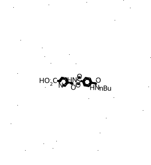 CCCCNC(=O)c1ccc(S(=O)(=O)NC(=O)c2ccc(C(=O)O)nc2)cc1